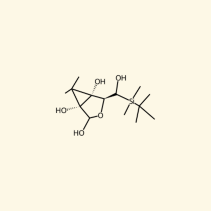 CC1(C)[C@]2(O)C(O)O[C@H](C(O)[Si](C)(C)C(C)(C)C)[C@]12O